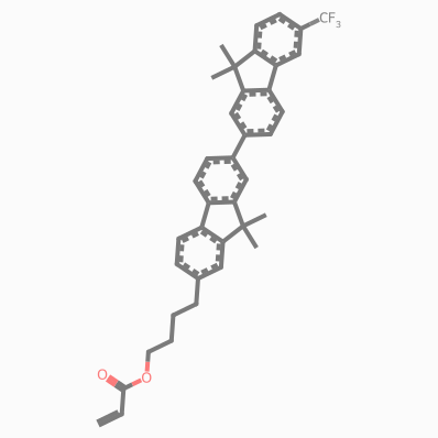 C=CC(=O)OCCCCc1ccc2c(c1)C(C)(C)c1cc(-c3ccc4c(c3)C(C)(C)c3ccc(C(F)(F)F)cc3-4)ccc1-2